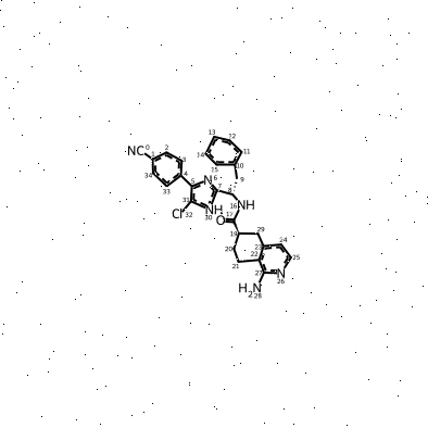 N#Cc1ccc(-c2nc([C@H](Cc3ccccc3)NC(=O)[C@@H]3CCc4c(ccnc4N)C3)[nH]c2Cl)cc1